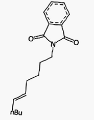 CCCCC=CCCCCN1C(=O)c2ccccc2C1=O